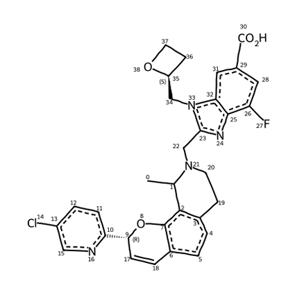 CC1c2c(ccc3c2O[C@@H](c2ccc(Cl)cn2)C=C3)CCN1Cc1nc2c(F)cc(C(=O)O)cc2n1C[C@@H]1CCO1